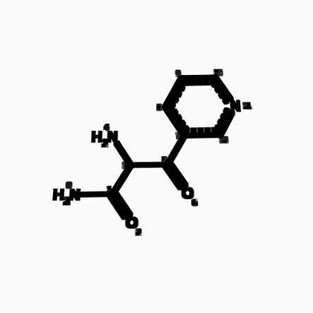 NC(=O)C(N)C(=O)c1cccnc1